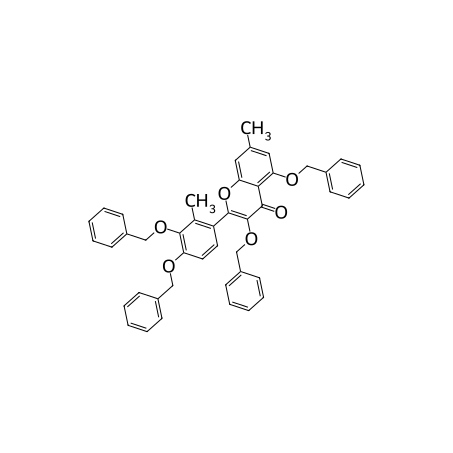 Cc1cc(OCc2ccccc2)c2c(=O)c(OCc3ccccc3)c(-c3ccc(OCc4ccccc4)c(OCc4ccccc4)c3C)oc2c1